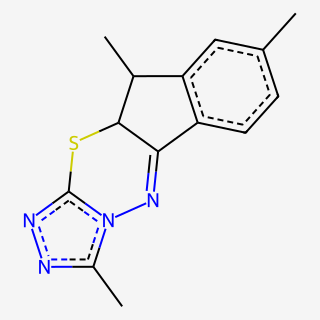 Cc1ccc2c(c1)C(C)C1Sc3nnc(C)n3N=C21